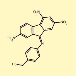 O=[N+]([O-])c1ccc2c(c1)C(=Nc1ccc(CS)cc1)c1cc([N+](=O)[O-])cc([N+](=O)[O-])c1-2